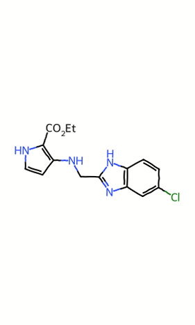 CCOC(=O)c1[nH]ccc1NCc1nc2cc(Cl)ccc2[nH]1